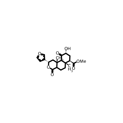 COC(=O)[C@@H]1C[C@@H](O)C(=O)C2[C@@]3(C)C[C@@H](c4ccoc4)OC(=O)C3CC[C@]21C